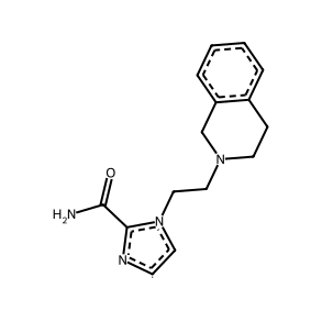 NC(=O)c1n[c]cn1CCN1CCc2ccccc2C1